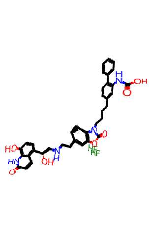 F.F.O=C(O)Nc1cc(CCCCn2c(=O)oc3cc(CCNC[C@H](O)c4ccc(O)c5[nH]c(=O)ccc45)ccc32)ccc1-c1ccccc1